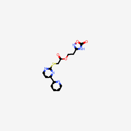 O=C(CSc1nccc(-c2ccccn2)n1)OCCc1noc(=O)[nH]1